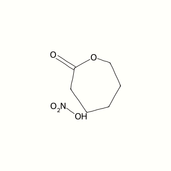 O=C1CCCCCO1.O=[N+]([O-])O